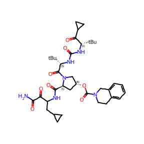 CC(C)(C)[C@H](NC(=O)N[C@H](C(=O)N1C[C@H](OC(=O)N2CCc3ccccc3C2)C[C@H]1C(=O)NC(CC1CC1)C(=O)C(N)=O)C(C)(C)C)C(=O)C1CC1